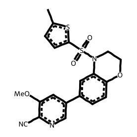 COc1cc(-c2ccc3c(c2)N(S(=O)(=O)c2ccc(C)s2)CCO3)cnc1C#N